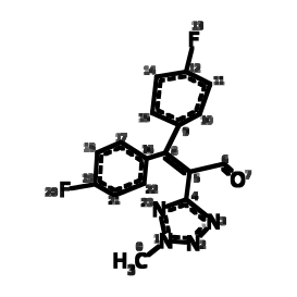 Cn1nnc(C(C=O)=C(c2ccc(F)cc2)c2ccc(F)cc2)n1